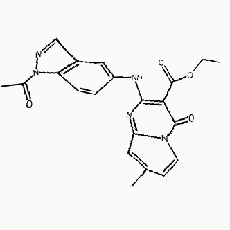 CCOC(=O)c1c(Nc2ccc3c(cnn3C(C)=O)c2)nc2cc(C)ccn2c1=O